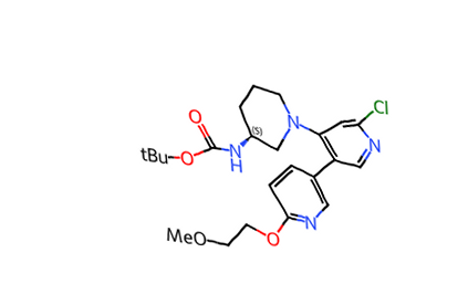 COCCOc1ccc(-c2cnc(Cl)cc2N2CCC[C@H](NC(=O)OC(C)(C)C)C2)cn1